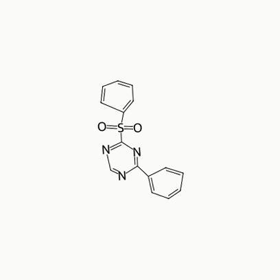 O=S(=O)(c1ccccc1)c1ncnc(-c2ccccc2)n1